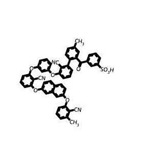 Cc1ccc(-c2cccc(Oc3cccc(Oc4cccc(Oc5ccc6ccc(Oc7cccc(C)c7C#N)cc6c5)c4C#N)c3)c2C#N)c(C(=O)c2cccc(S(=O)(=O)O)c2)c1